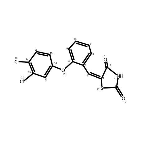 O=C1NC(=O)/C(=C\c2ccccc2Oc2ccc(Cl)c(Cl)c2)S1